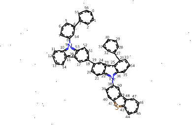 c1ccc(-c2cccc(-n3c4ccccc4c4cc(-c5ccc6c(c5)c5c(-c7ccccc7)cccc5n6-c5ccc6sc7ccccc7c6c5)ccc43)c2)cc1